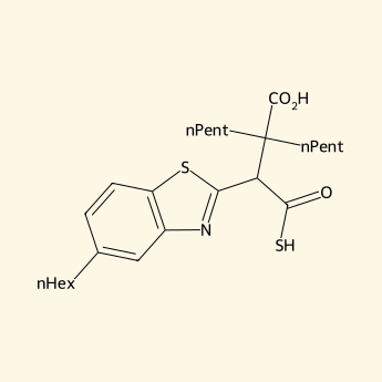 CCCCCCc1ccc2sc(C(C(=O)S)C(CCCCC)(CCCCC)C(=O)O)nc2c1